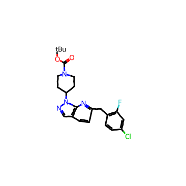 CC(C)(C)OC(=O)N1CCC(n2ncc3ccc(Cc4ccc(Cl)cc4F)nc32)CC1